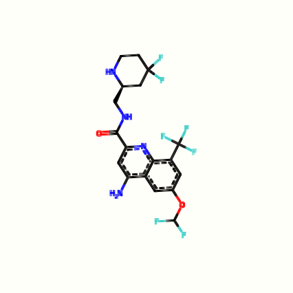 Nc1cc(C(=O)NC[C@@H]2CC(F)(F)CCN2)nc2c(C(F)(F)F)cc(OC(F)F)cc12